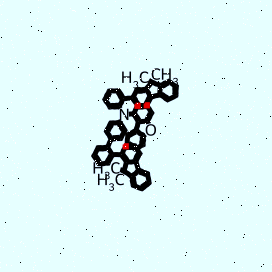 CC1(C)c2ccccc2-c2ccc(-c3ccccc3N(c3ccc(-c4ccccc4-c4cccc5c4C(C)(C)c4ccccc4-5)cc3)c3cccc4oc5ccccc5c34)cc21